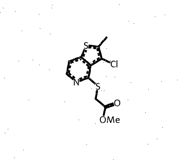 COC(=O)CSc1nccc2sc(C)c(Cl)c12